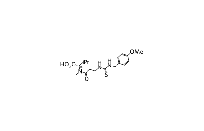 COc1ccc(CNC(=S)NCCC(=O)N(C)[C@H](C(=O)O)C(C)C)cc1